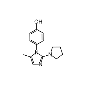 Cc1cnc(N2CCCC2)n1-c1ccc(O)cc1